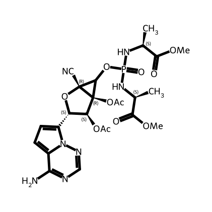 COC(=O)[C@H](C)NP(=O)(N[C@@H](C)C(=O)OC)OC1[C@@]2(C#N)O[C@@H](c3ccc4c(N)ncnn34)[C@H](OC(C)=O)[C@@]12OC(C)=O